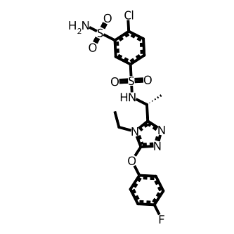 CCn1c(Oc2ccc(F)cc2)nnc1[C@@H](C)NS(=O)(=O)c1ccc(Cl)c(S(N)(=O)=O)c1